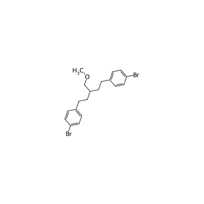 COCC(CCc1ccc(Br)cc1)CCc1ccc(Br)cc1